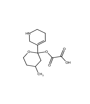 CC1CCOC(OC(=O)C(=O)O)(C2=CCCNC2)C1